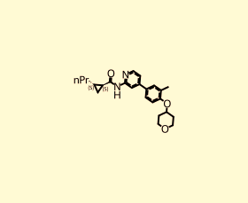 CCC[C@H]1C[C@@H]1C(=O)Nc1cc(-c2ccc(OC3CCOCC3)c(C)c2)ccn1